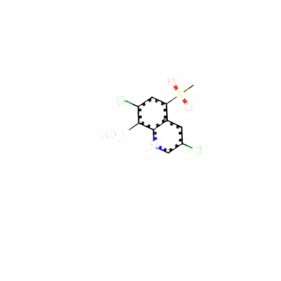 CS(=O)(=O)c1cc(Cl)c(C(=O)O)c2ncc(Cl)cc12